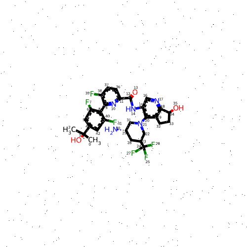 CC(C)(O)c1cc(F)c(-c2nc(C(=O)Nc3cnc4c(c3N3CC(C(F)(F)F)C[C@H](N)C3)CCC4O)ccc2F)c(F)c1